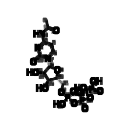 CC(=O)Nc1ccn([C@@H]2O[C@H](COP(=O)(O)OP(=O)(O)OP(=O)(O)O)[C@@H](O)[C@H]2O)c(=O)n1